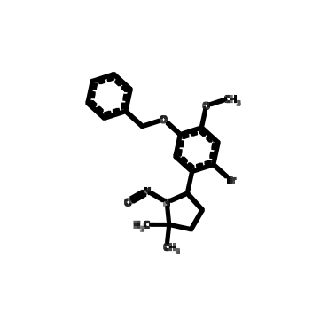 COc1cc(Br)c(C2CCC(C)(C)N2N=O)cc1OCc1ccccc1